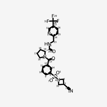 N#CC1CN(S(=O)(=O)c2cccc(C(=O)N3CCC[C@@H]3C(=O)NCc3ccc(C(F)(F)F)cn3)c2)C1